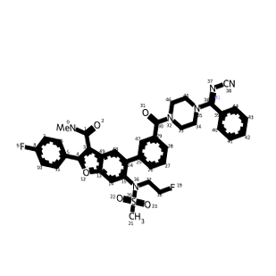 CNC(=O)c1c(-c2ccc(F)cc2)oc2cc(N(CCF)S(C)(=O)=O)c(-c3cccc(C(=O)N4CCN(/C(=N/C#N)c5ccccc5)CC4)c3)cc12